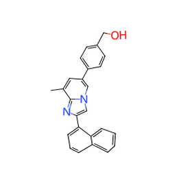 Cc1cc(-c2ccc(CO)cc2)cn2cc(-c3cccc4ccccc34)nc12